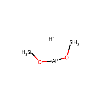 [H-].[SiH3][O][Al+][O][SiH3]